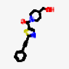 O=C(c1cnc(C#Cc2ccccc2)s1)N1CCC(CO)CC1